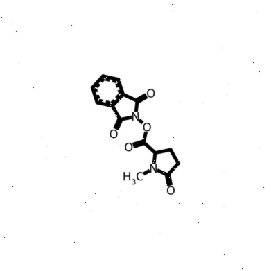 CN1C(=O)CCC1C(=O)ON1C(=O)c2ccccc2C1=O